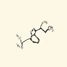 CCC(C)c1nsc2c(C(C)C)cccc12